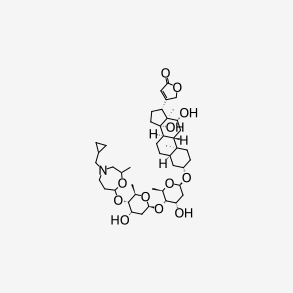 CC1CN(CC2CC2)CCC(O[C@H]2[C@@H](O)C[C@H](O[C@H]3[C@@H](O)C[C@H](O[C@H]4CC[C@@]5(C)[C@H](CC[C@@H]6[C@@H]5C[C@@H](O)[C@]5(C)[C@@H](C7=CC(=O)OC7)CC[C@]65O)C4)O[C@@H]3C)O[C@@H]2C)O1